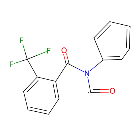 O=[C]N(C(=O)c1ccccc1C(F)(F)F)c1ccccc1